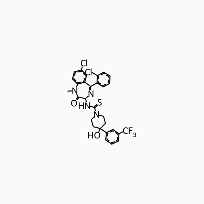 CN1C(=O)C(NC(=S)N2CCC(O)(c3cccc(C(F)(F)F)c3)CC2)N=C(c2ccccc2Cl)c2cc(Cl)ccc21